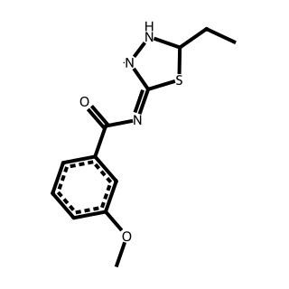 CCC1N[N]C(=NC(=O)c2cccc(OC)c2)S1